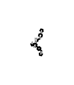 c1cc2nc(-c3ccc(CN4CCCC4)cc3)cc(NCCCN3CCC(N4CCCC4)CC3)c2s1